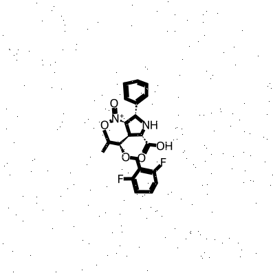 CC(C)[C@H](OCc1c(F)cccc1F)[C@H]1[C@H]([N+](=O)[O-])[C@H](c2ccccc2)N[C@@H]1C(=O)O